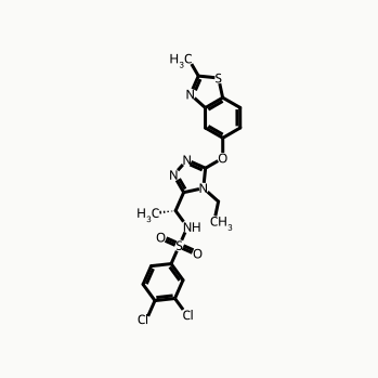 CCn1c(Oc2ccc3sc(C)nc3c2)nnc1[C@@H](C)NS(=O)(=O)c1ccc(Cl)c(Cl)c1